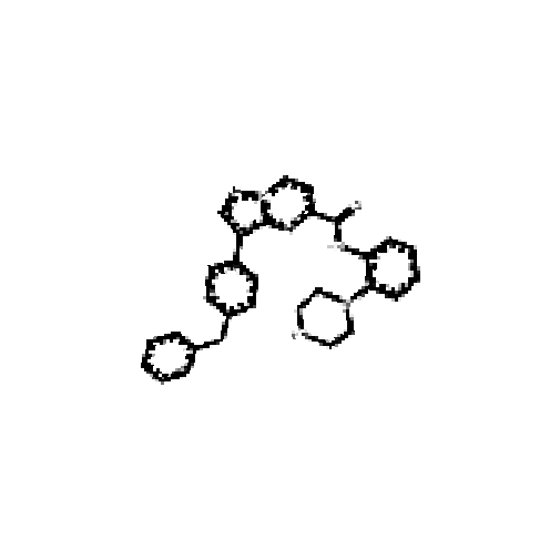 O=C(Nc1ccccc1N1CCNCC1)c1ccn2ncc(-c3ccc(Cc4ccccc4)cc3)c2n1